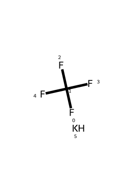 FC(F)(F)F.[KH]